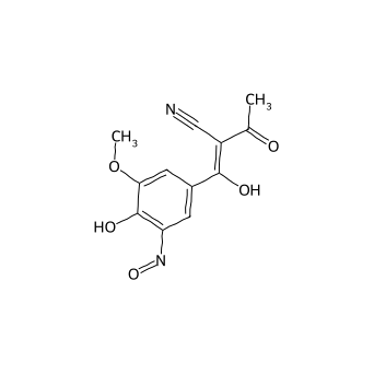 COc1cc(/C(O)=C(\C#N)C(C)=O)cc(N=O)c1O